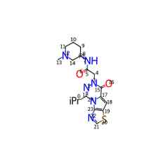 CC(C)c1nn(CC(=O)N[C@@H]2CCCN(C)C2)c(=O)c2cc3scnc3n12